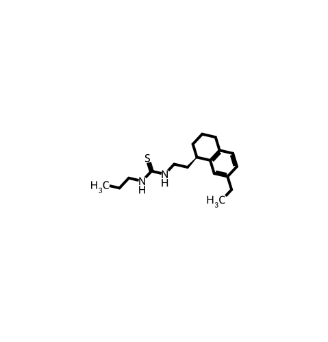 CCCNC(=S)NCC[C@H]1CCCc2ccc(CC)cc21